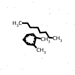 CCCCCCCC.Cc1ccccc1C